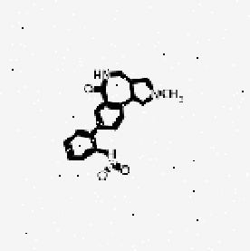 CN1CC2CNC(=O)c3cc(-c4ccccc4C[SH](=O)=O)ccc3C2C1